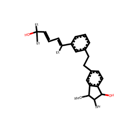 CCCC1C(O)c2ccc(CCc3cccc(/C(=C/C=C/C(O)(CC)CC)CC)c3)cc2C1OC